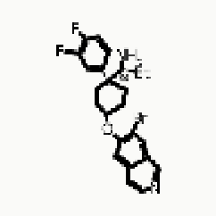 CC[C@H](N)[C@]1(c2ccc(F)c(F)c2)CC[C@H](Oc2cc3ccncc3cc2Br)CC1